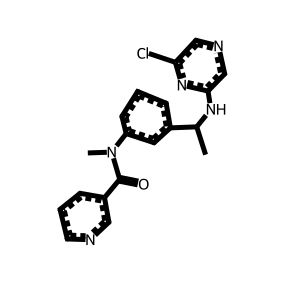 CC(Nc1cncc(Cl)n1)c1cccc(N(C)C(=O)c2cccnc2)c1